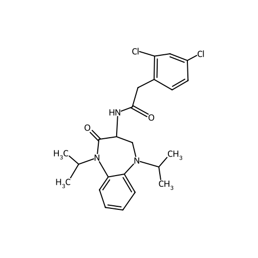 CC(C)N1CC(NC(=O)Cc2ccc(Cl)cc2Cl)C(=O)N(C(C)C)c2ccccc21